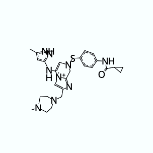 Cc1cc(NC2=CN(Sc3ccc(NC(=O)C4CC4)cc3)CC3=NC(CN4CCN(C)CC4)=C[N+]23)n[nH]1